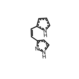 C(=C/c1ccc[nH]1)/c1cc[nH]n1